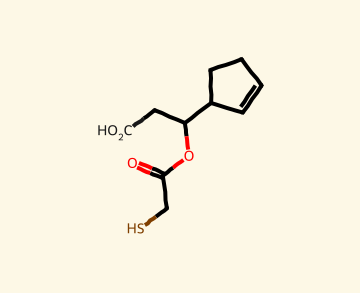 O=C(O)CC(OC(=O)CS)C1C=CCC1